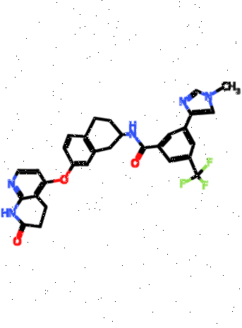 Cn1cnc(-c2cc(C(=O)N[C@@H]3CCc4ccc(Oc5ccnc6c5CCC(=O)N6)cc4C3)cc(C(F)(F)F)c2)c1